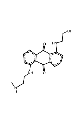 CN(C)CCNc1cccc2c1C(=O)c1cccc(NCCO)c1C2=O